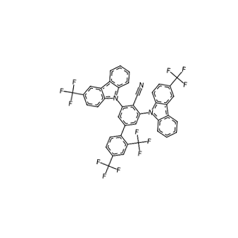 N#Cc1c(-n2c3ccccc3c3cc(C(F)(F)F)ccc32)cc(-c2ccc(C(F)(F)F)cc2C(F)(F)F)cc1-n1c2ccccc2c2cc(C(F)(F)F)ccc21